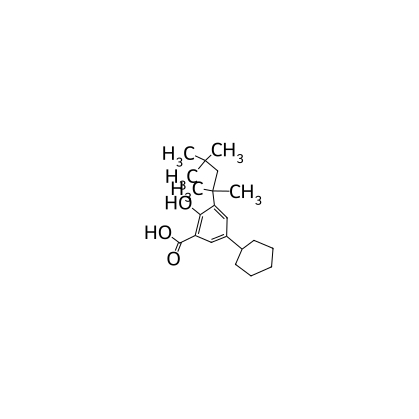 CC(C)(C)CC(C)(C)c1cc(C2CCCCC2)cc(C(=O)O)c1O